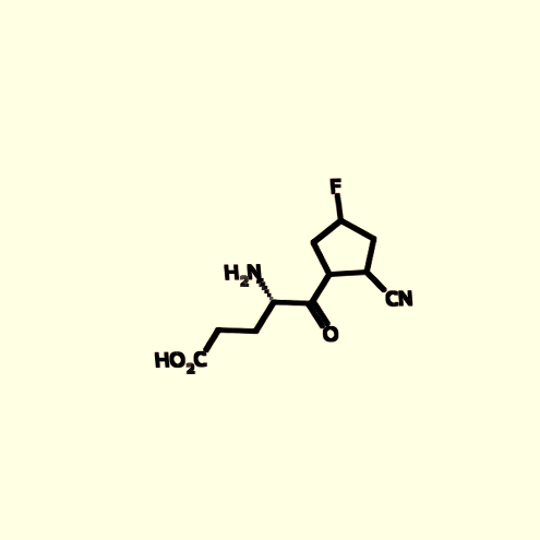 N#CC1CC(F)CC1C(=O)[C@@H](N)CCC(=O)O